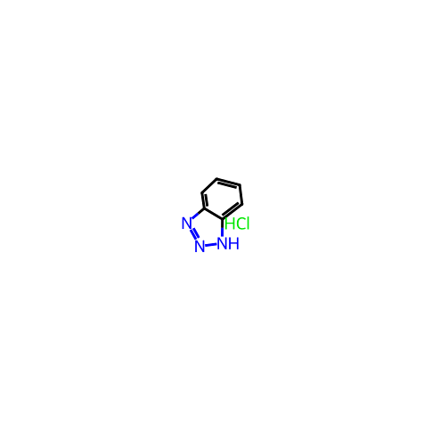 Cl.c1ccc2[nH]nnc2c1